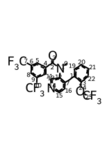 CN(C(=O)c1cc(C(F)(F)F)cc(C(F)(F)F)c1)c1cnccc1-c1ccccc1OC(F)(F)F